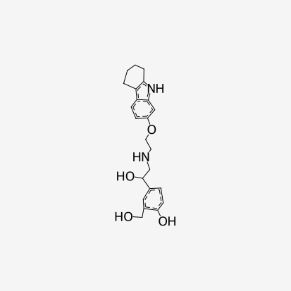 OCc1cc(C(O)CNCCOc2ccc3c4c([nH]c3c2)CCCC4)ccc1O